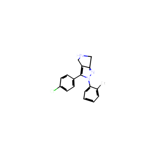 CCc1ccccc1-n1nc2c(c1-c1ccc(Cl)cc1)CNC2